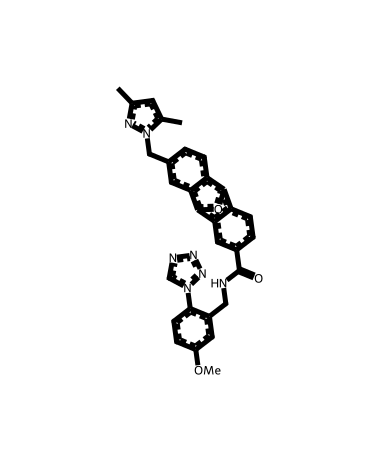 COc1ccc(-n2cnnn2)c(CNC(=O)c2ccc3c(c2)c2oc3c3ccc(Cn4nc(C)cc4C)cc32)c1